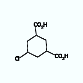 O=C(O)C1CC(Cl)CC(C(=O)O)C1